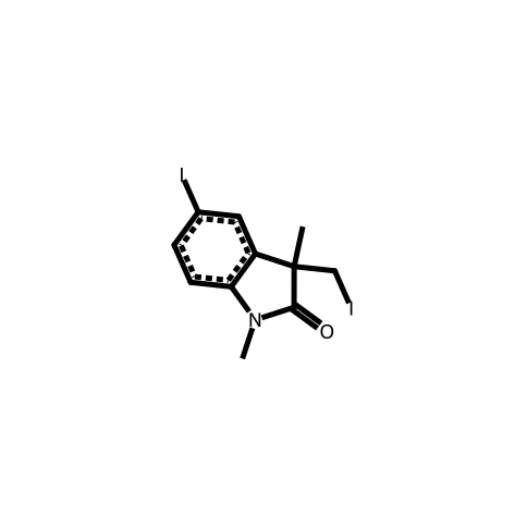 CN1C(=O)C(C)(CI)c2cc(I)ccc21